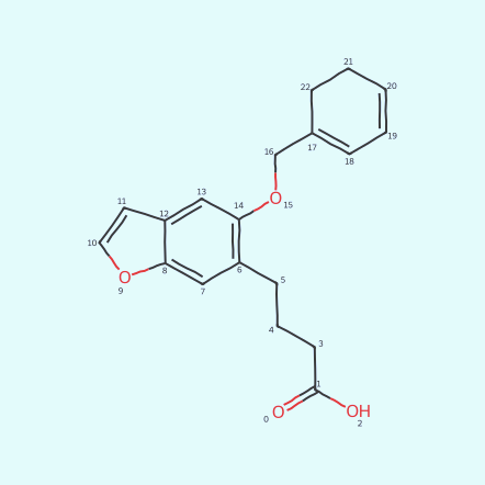 O=C(O)CCCc1cc2occc2cc1OCC1=CC=CCC1